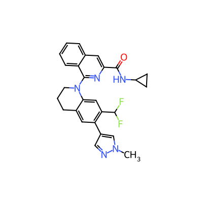 Cn1cc(-c2cc3c(cc2C(F)F)N(c2nc(C(=O)NC4CC4)cc4ccccc24)CCC3)cn1